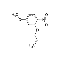 C=CCOc1cc(OC)ccc1[N+](=O)[O-]